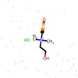 C[N+](C)(C#P=O)CCO.Cl